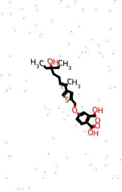 CCC(O)(CC)CC/C=C(\C)c1csc(COc2ccc(C(=O)O)c(C(=O)O)c2)c1